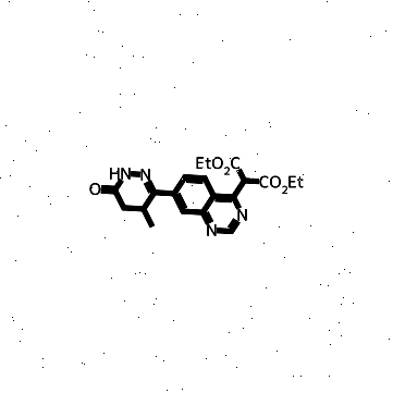 CCOC(=O)C(C(=O)OCC)c1ncnc2cc(C3=NNC(=O)CC3C)ccc12